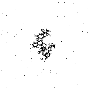 Cc1ccc(-n2nc(C3(C)CC3)cc2NC(=O)N(OS(C)(=O)=O)c2cnc(OC3CCN(C(=O)C4(C)CC4)CC3)c3ccccc23)cc1